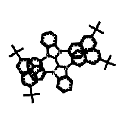 CC(C)(C)c1ccc2ccc(N3c4ccccc4N(c4ccc5ccc(C(C)(C)C)cc5c4)C3C3N(c4ccc5ccc(C(C)(C)C)cc5c4)c4ccccc4N3c3ccc4ccc(C(C)(C)C)cc4c3)cc2c1